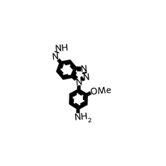 COc1cc(N)ccc1-n1nnc2cc(N=N)ccc21